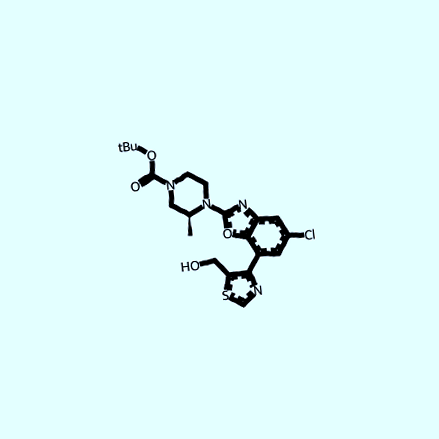 C[C@H]1CN(C(=O)OC(C)(C)C)CCN1c1nc2cc(Cl)cc(-c3ncsc3CO)c2o1